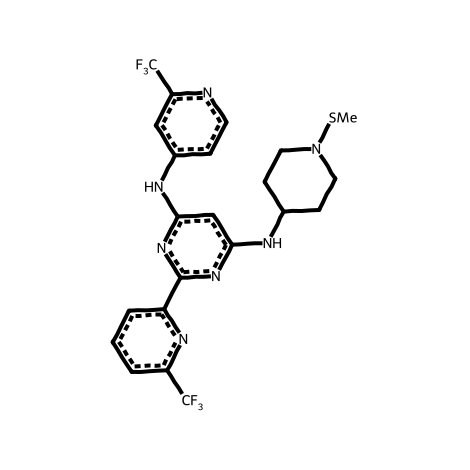 CSN1CCC(Nc2cc(Nc3ccnc(C(F)(F)F)c3)nc(-c3cccc(C(F)(F)F)n3)n2)CC1